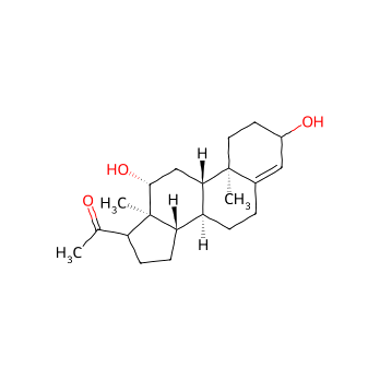 CC(=O)C1CC[C@H]2[C@@H]3CCC4=CC(O)CC[C@]4(C)[C@H]3C[C@@H](O)[C@]12C